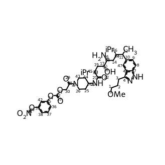 COCCCc1n[nH]c2ccc(C(C)[C@@H](C[C@H](N)[C@@H](O)C[C@H](C(=O)NC3CCN(C(=O)COC(=O)Oc4cccc(O[N+](=O)[O-])c4)CC3)C(C)C)C(C)C)cc12